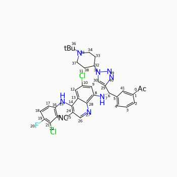 CC(=O)c1cccc([C@H](Nc2cc(Cl)cc3c(Nc4ccc(F)c(Cl)c4)c(C#N)cnc23)c2cn(C3CCN(C(C)(C)C)CC3)nn2)c1